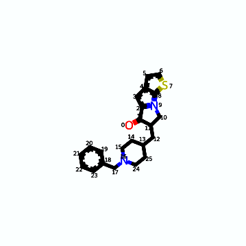 O=C1c2cc3ccsc3n2CC1CC1CCN(Cc2ccccc2)CC1